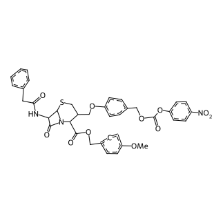 COc1ccc(COC(=O)C2C(COc3ccc(COC(=O)Oc4ccc([N+](=O)[O-])cc4)cc3)CSC3C(NC(=O)Cc4ccccc4)C(=O)N32)cc1